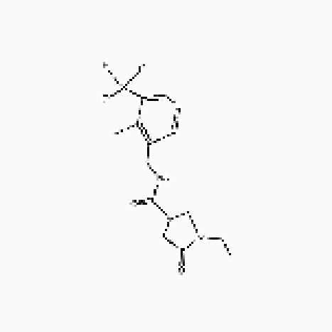 CCN1CC(C(=O)NCc2cccc(C(F)(F)F)c2C)CC1=O